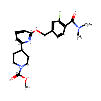 CON(C)C(=O)c1ccc(COc2cccc(C3CCN(C(=O)OC(C)(C)C)CC3)n2)cc1F